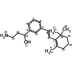 CC1=C(C=Cc2cccc(C(O)CCN)c2)C(C)(C)CCC1